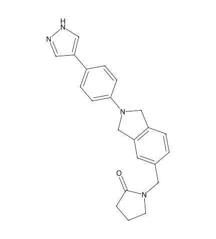 O=C1CCCN1Cc1ccc2c(c1)CN(c1ccc(-c3cn[nH]c3)cc1)C2